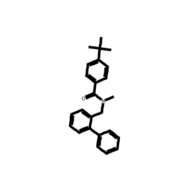 CN(Cc1ccccc1-c1ccccc1)C(=O)c1ccc(C(C)(C)C)cc1